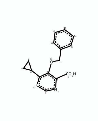 O=C(O)c1ncnc(C2CC2)c1OCc1ccccc1